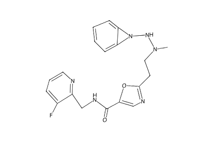 CN(CCc1ncc(C(=O)NCc2ncccc2F)o1)NN1c2ccccc21